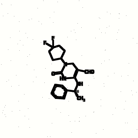 C[C@H](NC1=C(C=O)CN(C2CCC(F)(F)CC2)C(=O)N1)c1ccccc1